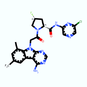 Cc1cc(C(F)(F)F)cc2c3c(N)ncnc3n(CC(=O)N3C[C@H](F)C[C@@H]3C(=O)Nc3cncc(Cl)n3)c12